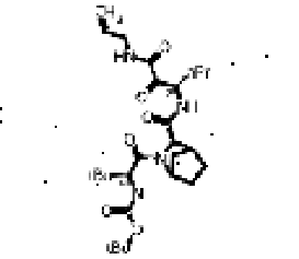 C=CCNC(=O)C(=O)[C@@H](CCC)NC(=O)C1C2CCC(C2)N1C(=O)[C@@H](NC(=O)OC(C)(C)C)C(C)(C)C